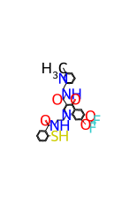 Cc1cccc(CNC(=O)c2cn(CCNC(=O)c3ccccc3S)c3cc4c(cc3c2=O)OC(F)(F)O4)n1